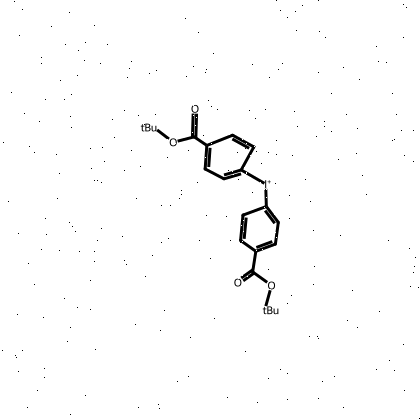 CC(C)(C)OC(=O)c1ccc([I+]c2ccc(C(=O)OC(C)(C)C)cc2)cc1